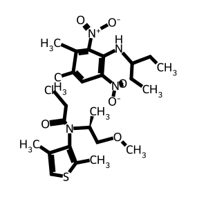 CCC(CC)Nc1c([N+](=O)[O-])cc(C)c(C)c1[N+](=O)[O-].COC[C@H](C)N(C(=O)CCl)c1c(C)csc1C